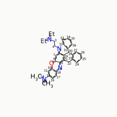 CCN(CC)CCN=c1cc2oc3cc(N(C)C)ccc3nc-2c(Cc2ccccc2)c1Cc1ccccc1